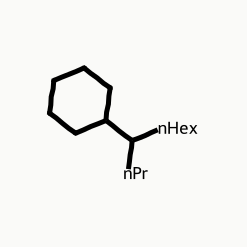 [CH2]CCC(CCCCCC)C1CCCCC1